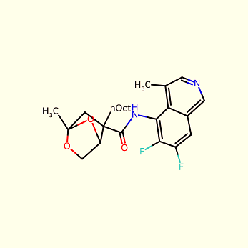 CCCCCCCCC1(C(=O)Nc2c(F)c(F)cc3cncc(C)c23)CC2(C)OCC1O2